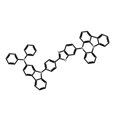 c1ccc(N(c2ccccc2)c2ccc3c4ccccc4n(-c4ccc(-c5nc6ccc(N7c8ccccc8-n8c9ccccc9c9cccc7c98)cc6o5)cc4)c3c2)cc1